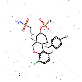 CS(=O)(=O)O[C@H]1CC[C@@]2(Cc3ccc(C(F)(F)F)cc3)c3c(F)ccc(F)c3OC[C@H]2[C@@H]1CCS(N)(=O)=O